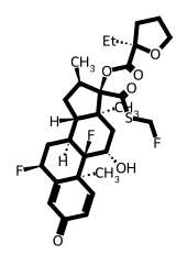 CC[C@]1(C(=O)O[C@]2(C(=O)SCF)[C@H](C)C[C@H]3[C@@H]4C[C@H](F)C5=CC(=O)C=C[C@]5(C)[C@@]4(F)[C@@H](O)C[C@@]32C)CCCO1